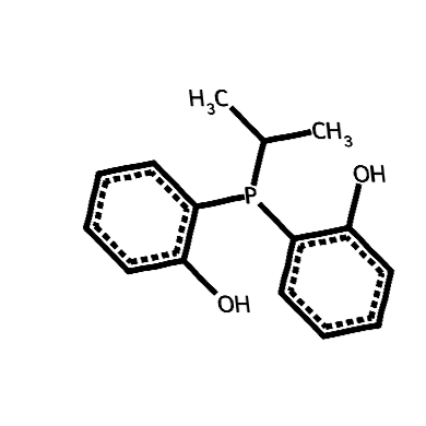 CC(C)P(c1ccccc1O)c1ccccc1O